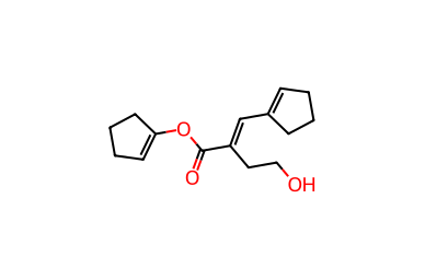 O=C(OC1=CCCC1)C(=CC1=CCCC1)CCO